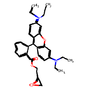 CCN(CC)c1ccc2c(-c3ccccc3C(=O)OCC3CO3)c3ccc(=[N+](CC)CC)cc-3oc2c1